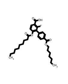 CCCCCCCCCC(=O)Oc1ccc(C(=O)O)c(F)c1-c1ccc(C(=O)OCCCCCCC)cc1